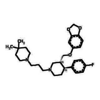 CC1(C)CCN(CCCN2CC[C@H](c3ccc(F)cc3)[C@@H](COc3ccc4c(c3)OCO4)C2)CC1